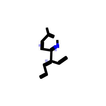 C=C/C=C(C=C)/C(/C=C\C(=C)C)=N/C